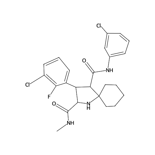 CNC(=O)C1NC2(CCCCC2)C(C(=O)Nc2cccc(Cl)c2)C1c1cccc(Cl)c1F